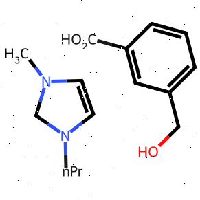 CCCN1C=CN(C)C1.O=C(O)c1cccc(CO)c1